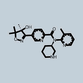 Cc1cccnc1N(C(=O)c1ccc(C2=NOC(C)(C)[C@@]2(C)O)cn1)[C@@H]1CCCNC1